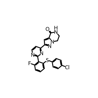 O=C1NCCn2nc(-c3ccnc(-c4c(F)cccc4Sc4ccc(Cl)cc4)n3)cc21